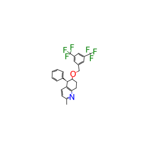 Cc1ccc2c(n1)CC[C@H](OCc1cc(C(F)(F)F)cc(C(F)(F)F)c1)[C@@H]2c1ccccc1